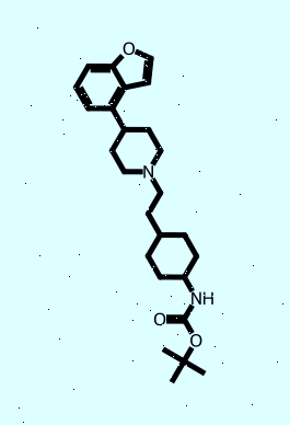 CC(C)(C)OC(=O)NC1CCC(CCN2CCC(c3cccc4occc34)CC2)CC1